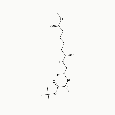 COC(=O)CCCCC(=O)NCC(=O)N[C@H](C)C(=O)OC(C)(C)C